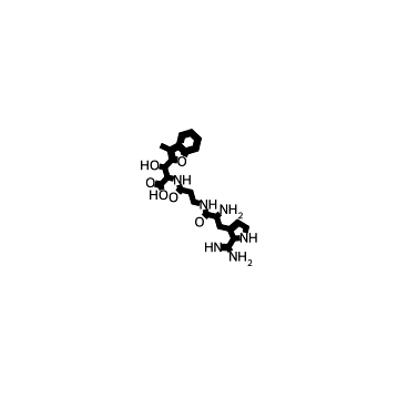 Cc1c(C(O)C(NC(=O)CCNC(=O)C(N)CC2=CCNC2C(=N)N)C(=O)O)oc2ccccc12